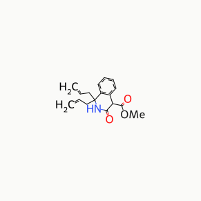 C=CCC1(CC=C)NC(=O)C(C(=O)OC)c2ccccc21